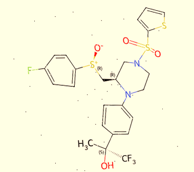 C[C@](O)(c1ccc(N2CCN(S(=O)(=O)c3cccs3)C[C@@H]2C[S@+]([O-])c2ccc(F)cc2)cc1)C(F)(F)F